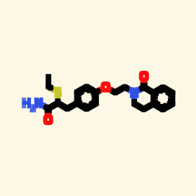 CCSC(Cc1ccc(OCCN2CCc3ccccc3C2=O)cc1)C(N)=O